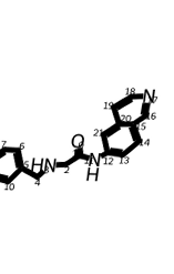 O=C(CNCc1ccccc1)Nc1ccc2cnccc2c1